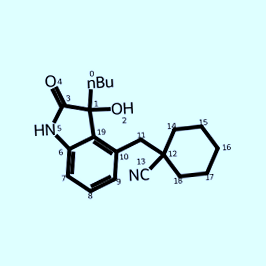 CCCCC1(O)C(=O)Nc2cccc(CC3(C#N)CCCCC3)c21